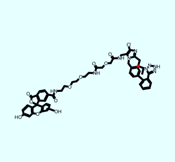 CCCCc1nc(Cl)c(CNC(=O)COCC(=O)NCCOCCOCCNC(=O)c2ccc3c(c2)C2(OC3=O)c3ccc(O)cc3Oc3cc(O)ccc32)n1Cc1ccc(-c2ccccc2-c2nn[nH]n2)cc1